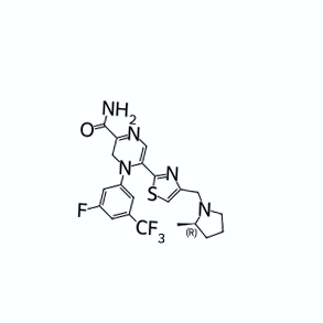 C[C@@H]1CCCN1Cc1csc(C2=CN=C(C(N)=O)CN2c2cc(F)cc(C(F)(F)F)c2)n1